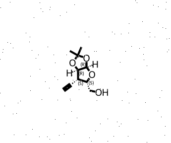 C#C[C@@H]1[C@H]2OC(C)(C)O[C@H]2O[C@@H]1CO